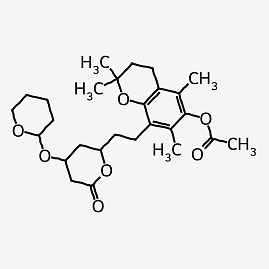 CC(=O)Oc1c(C)c(CCC2CC(OC3CCCCO3)CC(=O)O2)c2c(c1C)CCC(C)(C)O2